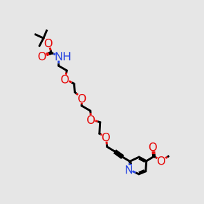 COC(=O)c1ccnc(C#CCOCCOCCOCCOCCNC(=O)OC(C)(C)C)c1